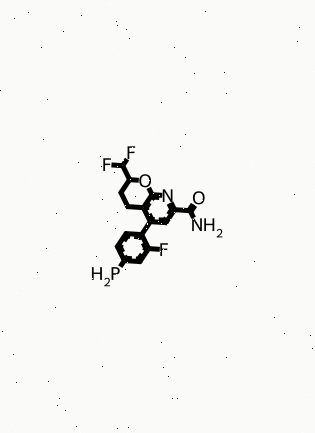 NC(=O)c1cc(-c2ccc(P)cc2F)c2c(n1)OC(C(F)F)CC2